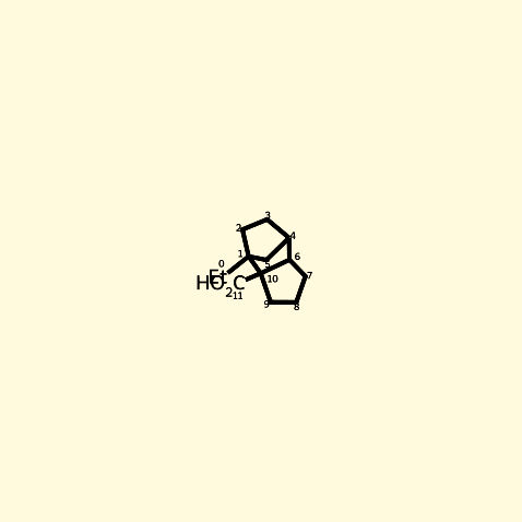 CCC12CCC(C1)C1CCCC12C(=O)O